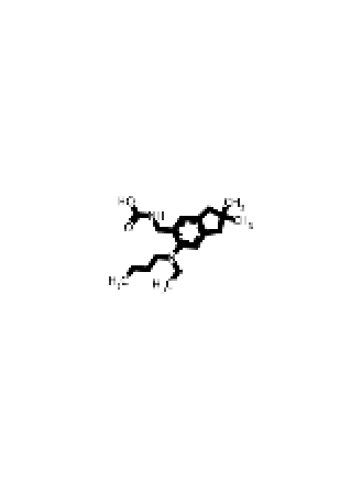 CCCCN(CC)c1cc2c(cc1CNC(=O)O)CC(C)(C)C2